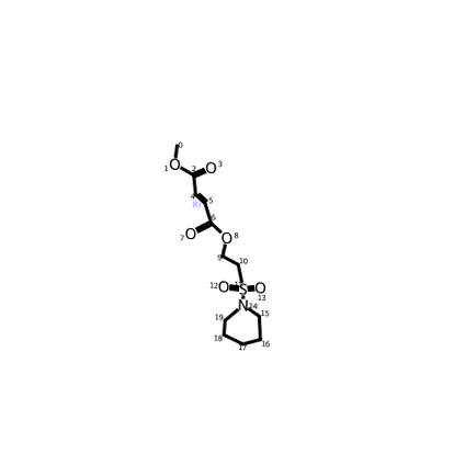 COC(=O)/C=C/C(=O)OCCS(=O)(=O)N1CCCCC1